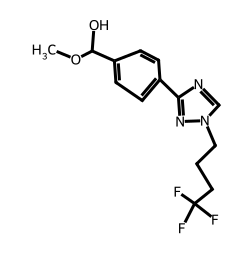 COC(O)c1ccc(-c2ncn(CCCC(F)(F)F)n2)cc1